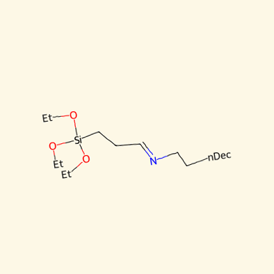 CCCCCCCCCCCCN=CCC[Si](OCC)(OCC)OCC